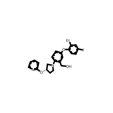 CCc1cc(F)ccc1Oc1ccc(N2CC[C@H](Oc3ccccn3)C2)c(CO)c1